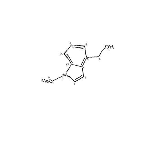 COn1ccc2c(CO)cccc21